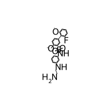 COc1ccc(-c2c(F)cccc2OC)cc1S(=O)(=O)Nc1cccc(NCCN)c1